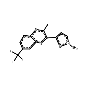 Cc1nc2ccc(C(F)(F)F)cc2nc1-c1ccn(N)n1